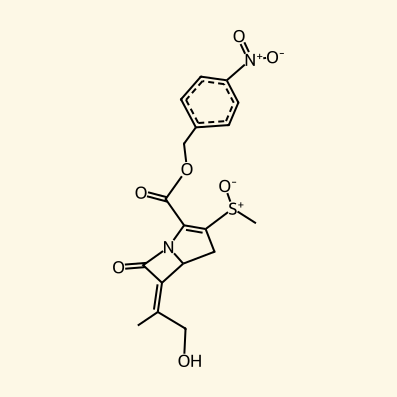 CC(CO)=C1C(=O)N2C(C(=O)OCc3ccc([N+](=O)[O-])cc3)=C([S+](C)[O-])CC12